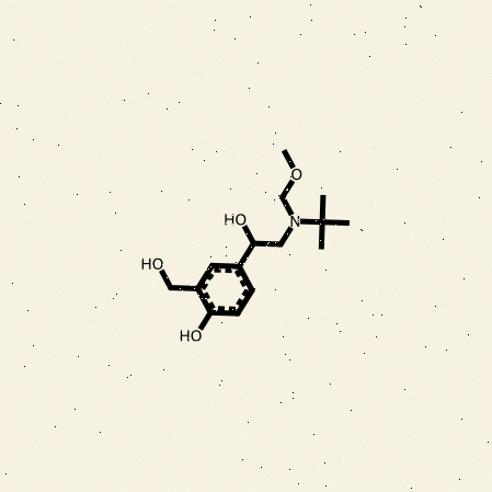 COCN(CC(O)c1ccc(O)c(CO)c1)C(C)(C)C